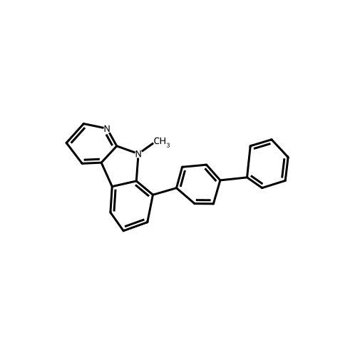 Cn1c2ncccc2c2cccc(-c3ccc(-c4ccccc4)cc3)c21